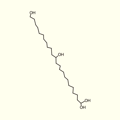 OCCCCCCCCCCCC(O)CCCCCCCCCCCC(O)O